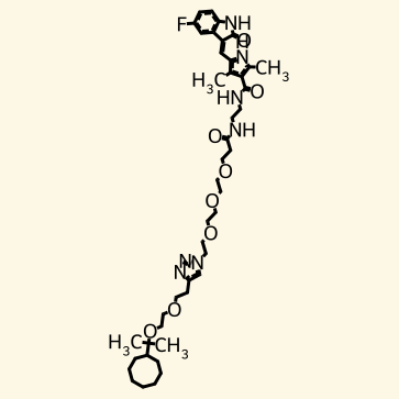 Cc1[nH]c(/C=C2\C(=O)Nc3ccc(F)cc32)c(C)c1C(=O)NCCNC(=O)CCOCCOCCOCCn1cc(CCOCCOC(C)(C)C2CCCCCCC2)nn1